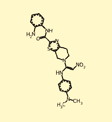 CN(C)c1ccc(N/C(=C/[N+](=O)[O-])N2CCc3nc(C(=O)Nc4ccccc4N)sc3C2)cc1